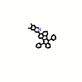 Cc1cc2cnc(-c3ccc4c5c(cccc35)-c3c-4c(-c4ccccc4)c4ccccc4c3-c3ccccc3)cc2cc1C